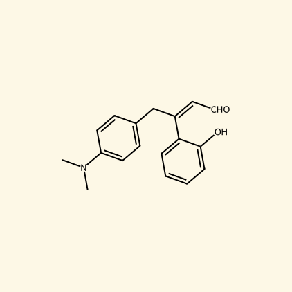 CN(C)c1ccc(CC(=CC=O)c2ccccc2O)cc1